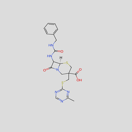 Cc1ncnc(SCC2(C(=O)O)CS[C@@H]3C(NC(=O)NCc4ccccc4)C(=O)N3C2)n1